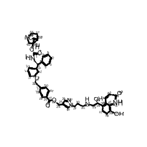 O=C(N[C@@H](c1ccccc1)c1cccc(OCc2ccc(C(=O)OCc3cnn(CCCNC[C@H](O)c4ccc(O)c5[nH]c(=O)ccc45)c3)cc2)c1)O[C@H]1CN2CCC1CC2